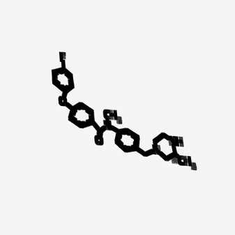 C[C@H]1CN(Cc2ccc(N(C)C(=O)c3ccc(Oc4ccc(F)cc4)cc3)cc2)CCN1